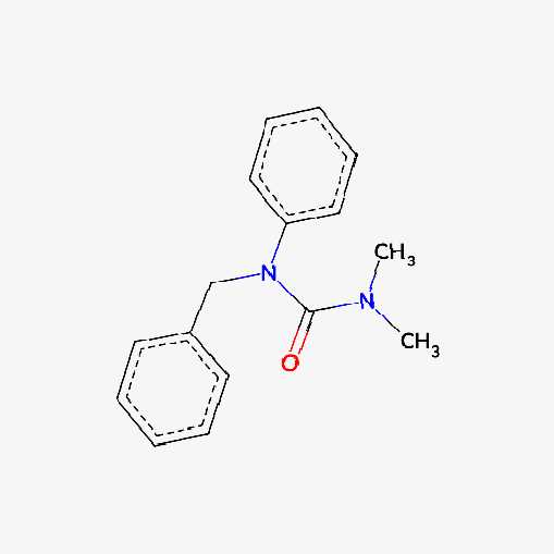 CN(C)C(=O)N(Cc1ccccc1)c1ccccc1